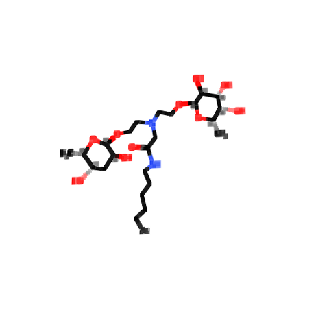 CC(=O)CCCCCNC(=O)CN(CCO[C@@H]1O[C@@H](C)[C@@H](O)[C@@H](O)[C@@H]1O)CCO[C@@H]1O[C@@H](C)[C@@H](O)C[C@@H]1O